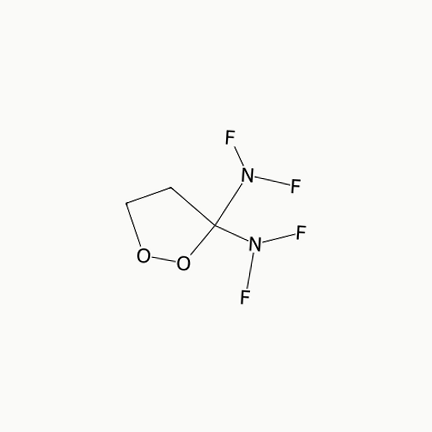 FN(F)C1(N(F)F)CCOO1